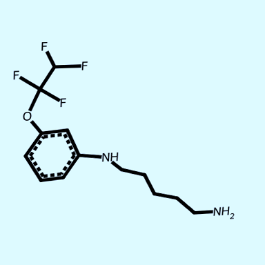 NCCCCCNc1cccc(OC(F)(F)C(F)F)c1